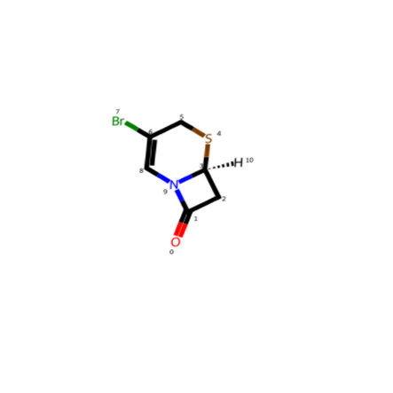 O=C1C[C@@H]2SCC(Br)=CN12